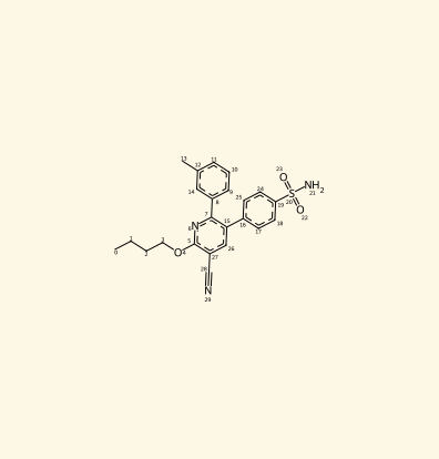 CCCCOc1nc(-c2cccc(C)c2)c(-c2ccc(S(N)(=O)=O)cc2)cc1C#N